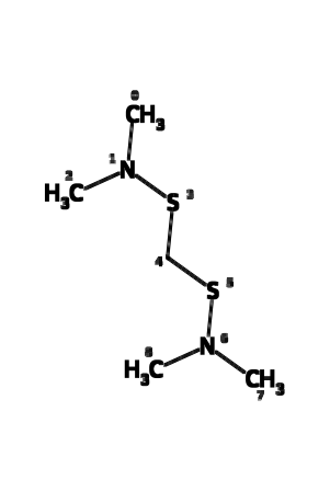 CN(C)SCSN(C)C